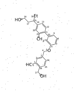 [CH]c1cc(COc2cccc(-c3ccc(C(CC)CCO)cc3C)c2)ccc1CO